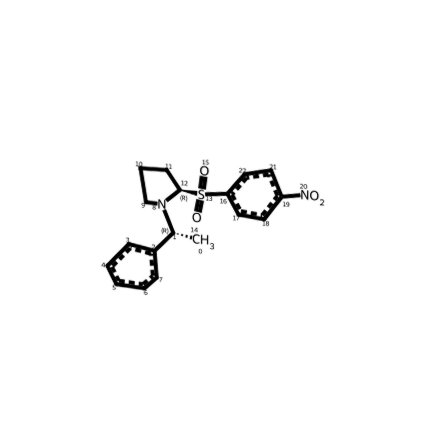 C[C@H](c1ccccc1)N1CCC[C@H]1S(=O)(=O)c1ccc([N+](=O)[O-])cc1